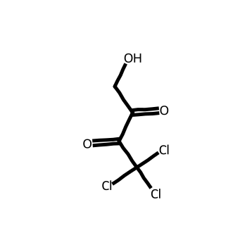 O=C(CO)C(=O)C(Cl)(Cl)Cl